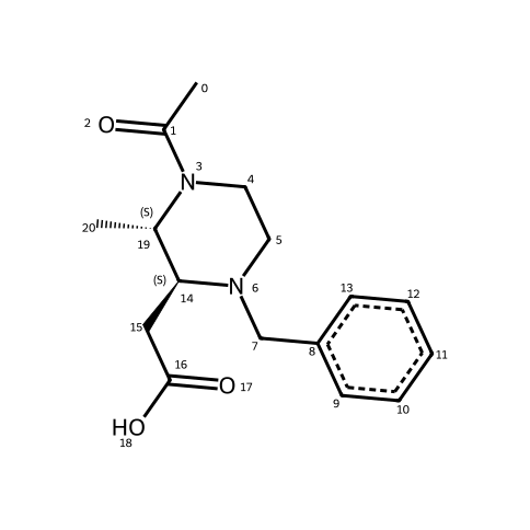 CC(=O)N1CCN(Cc2ccccc2)[C@@H](CC(=O)O)[C@@H]1C